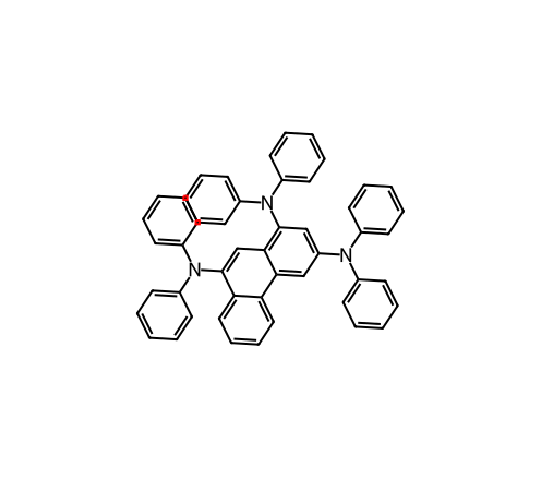 c1ccc(N(c2ccccc2)c2cc(N(c3ccccc3)c3ccccc3)c3cc(N(c4ccccc4)c4ccccc4)c4ccccc4c3c2)cc1